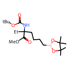 CCC(CCCCB1OC(C)(C)C(C)(C)O1)(NC(=O)OC(C)(C)C)C(=O)OC